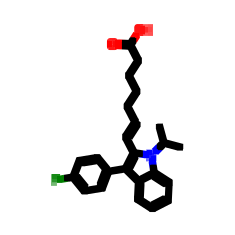 CC(C)n1c(/C=C/CCCCC(=O)O)c(-c2ccc(F)cc2)c2ccccc21